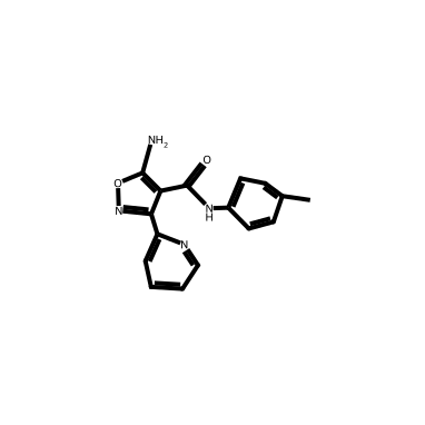 Cc1ccc(NC(=O)c2c(-c3ccccn3)noc2N)cc1